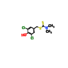 CN(C)C(=S)SCc1cc(Cl)c(O)c(Cl)c1